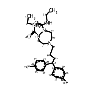 CCNC(=O)N1CCN(CCCC(c2ccc(F)cc2)c2ccc(F)cc2)CCN1C(=O)NCC